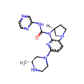 C[C@@H]1CN(c2ccc3c(n2)N(C(=O)Nc2cnccn2)[C@H]2CCN3C2)CCN1